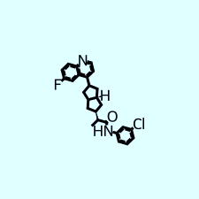 CC(C(=O)Nc1cccc(Cl)c1)[C@H]1CC2CC(c3ccnc4ccc(F)cc34)C[C@H]2C1